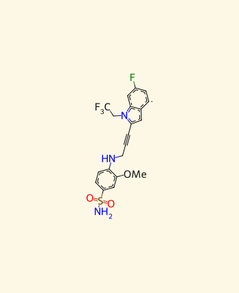 COc1cc(S(N)(=O)=O)ccc1NCC#Cc1cc2[c]cc(F)cc2n1CC(F)(F)F